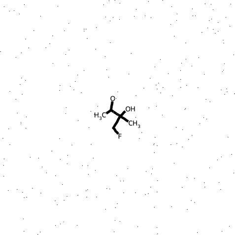 CC([O])C(C)(O)CF